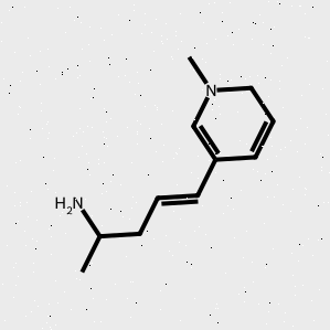 CC(N)CC=CC1=CN(C)CC=C1